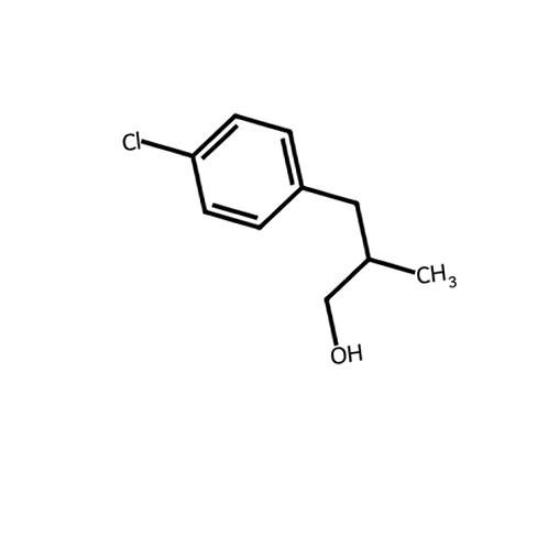 CC(CO)Cc1ccc(Cl)cc1